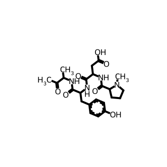 CC(=O)C(C)NC(=O)C(Cc1ccc(O)cc1)NC(=O)C(CC(=O)O)NC(=O)C1CCCN1C